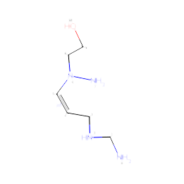 NCNC/C=C\N(N)CCO